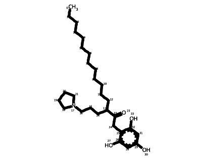 CCCCCCCCCCCCCC(CCCN1CCCC1)C(=O)Cc1c(O)cc(O)cc1O